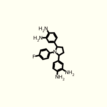 Nc1ccc(C2CCC(c3ccc(N)c(N)c3)N2c2ccc(F)cc2)cc1N